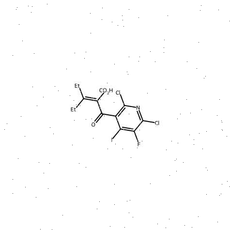 CCC(CC)=C(C(=O)O)C(=O)c1c(Cl)nc(Cl)c(F)c1I